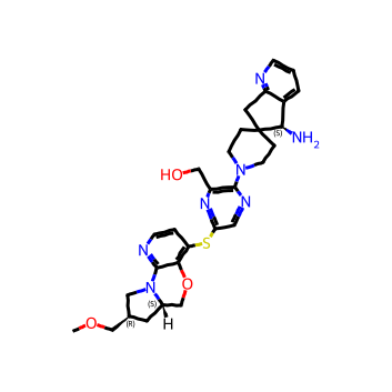 COC[C@@H]1C[C@H]2COc3c(Sc4cnc(N5CCC6(CC5)Cc5ncccc5[C@H]6N)c(CO)n4)ccnc3N2C1